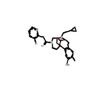 Cc1cc2c(cc1O)C13CCN(C(=O)Cc4ncccc4F)CCC1(O)C(C2)N(CC1CC1)CC3